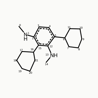 CNc1ccc(C2CCCCC2)c(NC)c1C1CCCCC1